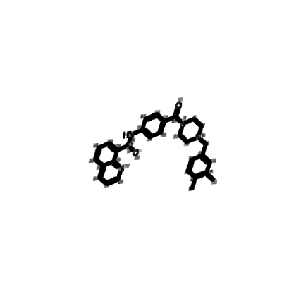 Cc1ccc(CN2CCN(C(=O)c3ccc(N[S+]([O-])c4cccc5cccnc45)cc3)CC2)cc1C